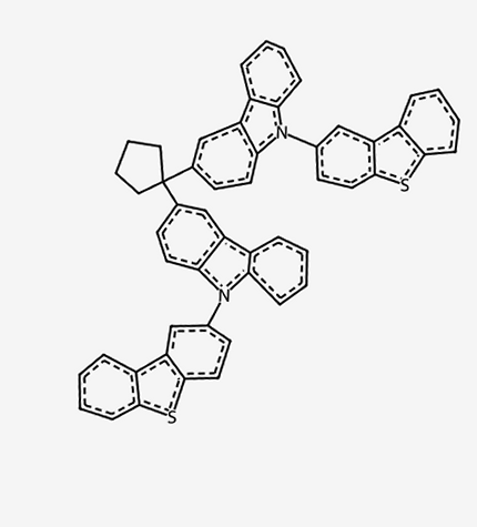 c1ccc2c(c1)sc1ccc(-n3c4ccccc4c4cc(C5(c6ccc7c(c6)c6ccccc6n7-c6ccc7sc8ccccc8c7c6)CCCC5)ccc43)cc12